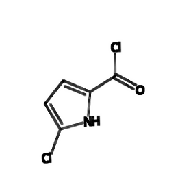 O=C(Cl)c1ccc(Cl)[nH]1